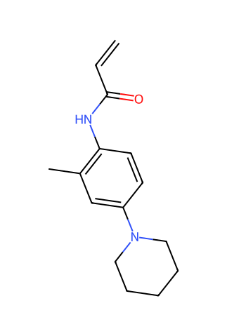 C=CC(=O)Nc1ccc(N2CCCCC2)cc1C